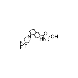 C[C@H](CO)NC(=O)c1ccc2c(N3CCC(C(F)(F)F)CC3)cccc2c1